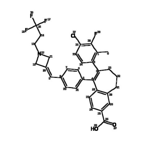 Cc1c(C2=C(c3ccc(C=C4CN(CCC(F)(F)F)C4)cc3)c3ccc(C(=O)O)cc3CCC2)ccc(Cl)c1F